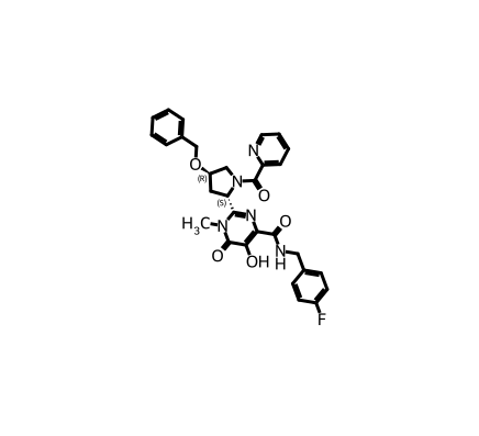 Cn1c([C@@H]2C[C@@H](OCc3ccccc3)CN2C(=O)c2ccccn2)nc(C(=O)NCc2ccc(F)cc2)c(O)c1=O